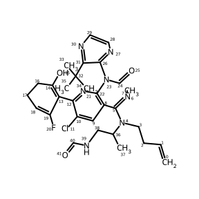 C=CCCN(/C(=N/C)c1cc(Cl)c(C2=C(O)CCC=C2F)nc1N(C=O)c1nccnc1C(C)(C)C)C(C)CNC=O